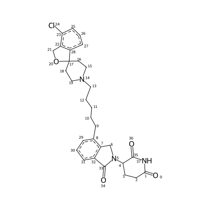 O=C1CCC(N2Cc3c(CCCCCN4CCC5(CC4)OCc4c(Cl)cccc45)cccc3C2=O)C(=O)N1